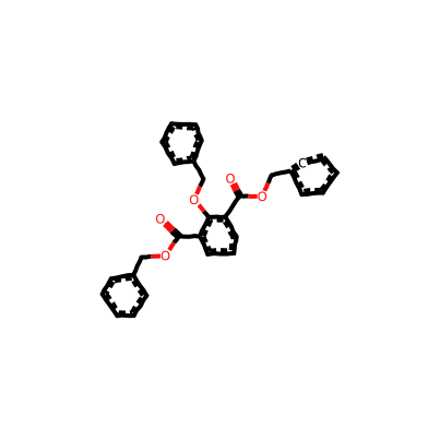 O=C(OCc1ccccc1)c1cccc(C(=O)OCc2ccccc2)c1OCc1ccccc1